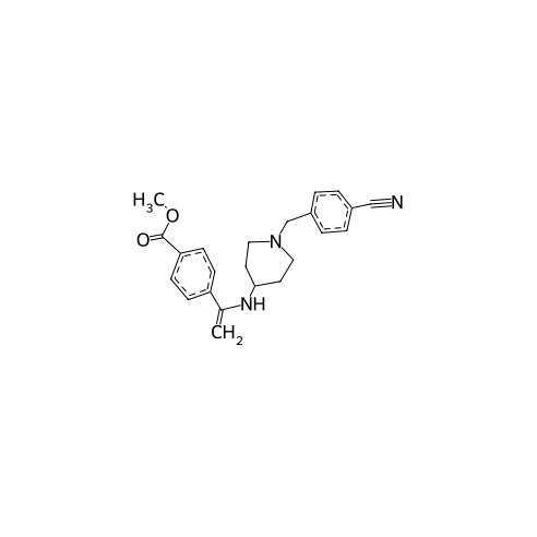 C=C(NC1CCN(Cc2ccc(C#N)cc2)CC1)c1ccc(C(=O)OC)cc1